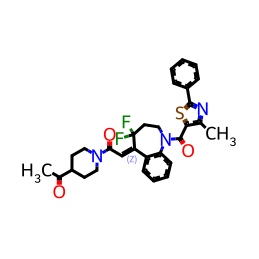 CC(=O)C1CCN(C(=O)/C=C2/c3ccccc3N(C(=O)c3sc(-c4ccccc4)nc3C)CCC2(F)F)CC1